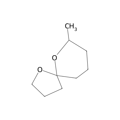 CC1CCCC2(CCCO2)O1